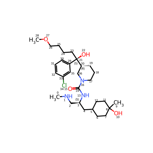 CNC[C@H](CC1CCC(C)(O)CC1)NC(=O)N1CCC[C@@H]([C@@](O)(CCCCOC)c2cccc(Cl)c2)C1